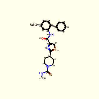 CCCCNC(=S)N1CCC(c2nc(C(=O)Nc3cc(OC)ccc3-c3ccccc3)cs2)CC1